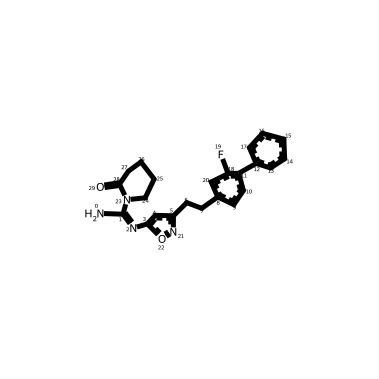 NC(=Nc1cc(CCc2ccc(-c3ccccc3)c(F)c2)no1)N1CCCCC1=O